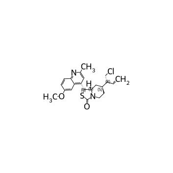 C=C[C@@H](CCl)[C@H]1CCN2C(=O)S[C@H](c3cc(C)nc4ccc(OC)cc34)[C@@H]2C1